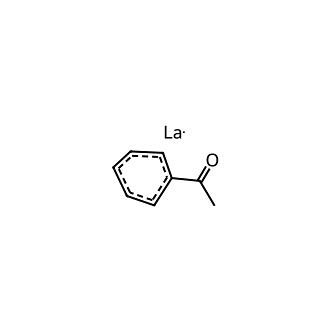 CC(=O)c1ccccc1.[La]